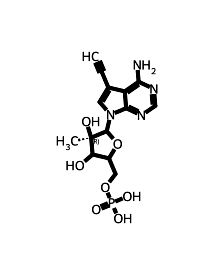 C#Cc1cn(C2OC(COP(=O)(O)O)C(O)[C@@]2(C)O)c2ncnc(N)c12